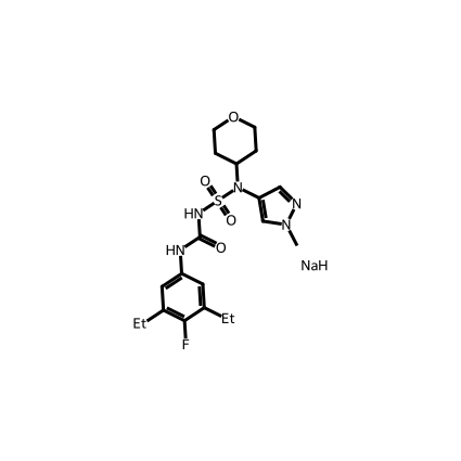 CCc1cc(NC(=O)NS(=O)(=O)N(c2cnn(C)c2)C2CCOCC2)cc(CC)c1F.[NaH]